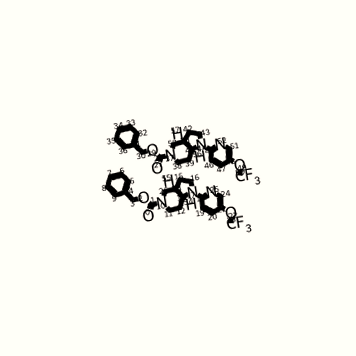 O=C(OCc1ccccc1)N1CC[C@@H]2[C@@H](CCN2c2ccc(OC(F)(F)F)cn2)C1.O=C(OCc1ccccc1)N1CC[C@H]2[C@H](CCN2c2ccc(OC(F)(F)F)cn2)C1